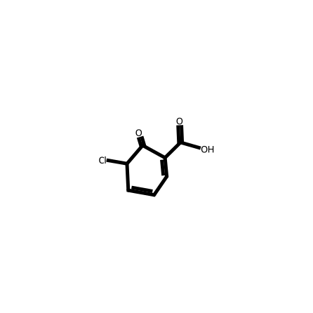 O=C(O)C1=CC=CC(Cl)C1=O